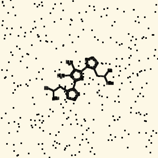 CCCCC(CC)Cc1ccsc1-c1sc(-c2sccc2CC(CC)CCCC)c(N)c1N